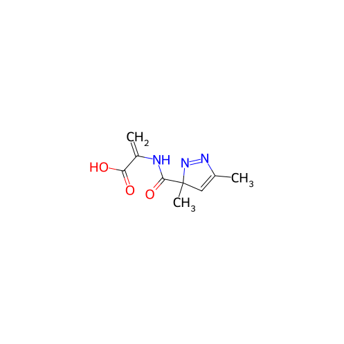 C=C(NC(=O)C1(C)C=C(C)N=N1)C(=O)O